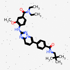 CCN(CC)C(=O)c1ccc(Nc2nc3ccc(-c4ccc(C(=O)NCC(C)(C)C)cc4)cn3n2)c(OC)c1